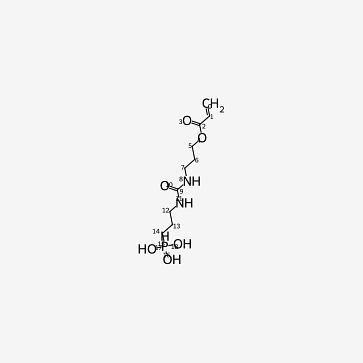 C=CC(=O)OCCCNC(=O)NCCC[PH](O)(O)O